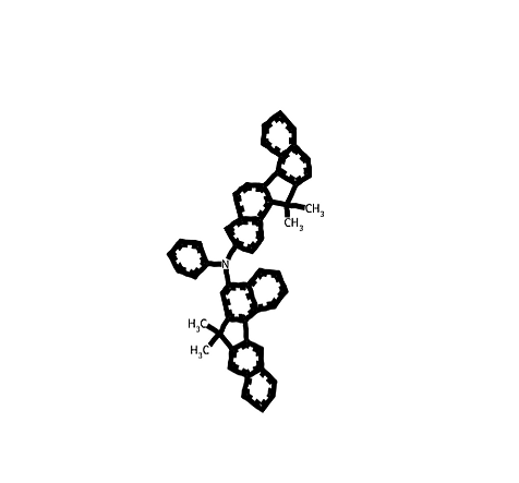 CC1(C)c2cc3ccccc3cc2-c2c1cc(N(c1ccccc1)c1ccc3c4c(ccc3c1)-c1c(ccc3ccccc13)C4(C)C)c1ccccc21